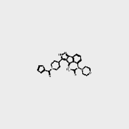 NC(=O)N(c1cccc2c1C(=O)c1c-2n[nH]c1C1CCN(C(=O)c2cccs2)CC1)N1CCOCC1